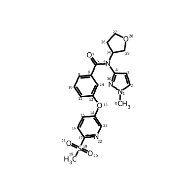 Cn1ccc(N(C(=O)c2cccc(Oc3ccc(S(C)(=O)=O)nc3)c2)C2CCOC2)n1